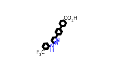 O=C(O)C1CCC(c2ccc(-c3ccc(Nc4cccc(C(F)(F)F)c4)nn3)cc2)CC1